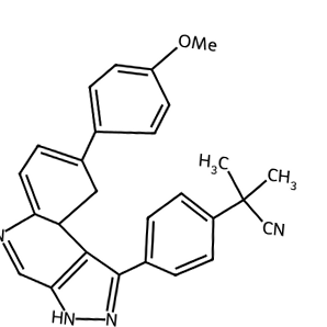 COc1ccc(C2=CC=C3N=Cc4[nH]nc(-c5ccc(C(C)(C)C#N)cc5)c4C3C2)cc1